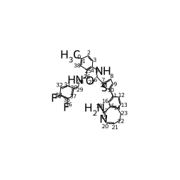 Cc1ccc(NCc2ccc(-c3ccc4c(c3)/C(N)=N\C=C/CC4)s2)c(C(=O)NCc2ccc(F)c(F)c2)c1